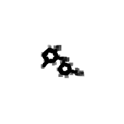 Cc1ccc(Cl)c(Nc2cccc(O)c2)c1